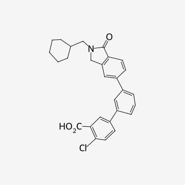 O=C(O)c1cc(-c2cccc(-c3ccc4c(c3)CN(CC3CCCCC3)C4=O)c2)ccc1Cl